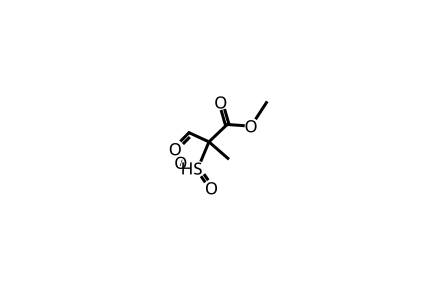 COC(=O)C(C)(C=O)[SH](=O)=O